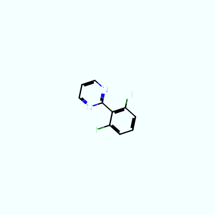 Clc1cccc(Cl)c1-c1ncccn1